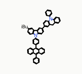 CCC(C)c1ccc2c(c1)c1cc(-c3ccc4c(c3)Cc3ccccc3N4c3ccccc3)ccc1n2-c1ccc(-c2c3ccccc3c(-c3ccccc3)c3ccccc23)cc1